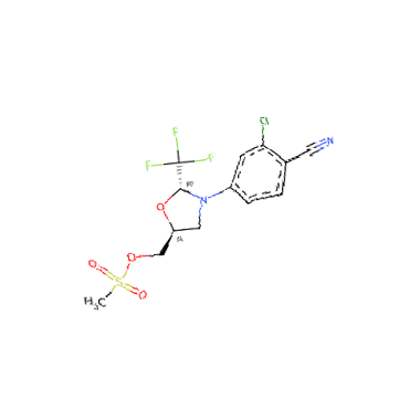 CS(=O)(=O)OC[C@@H]1CN(c2ccc(C#N)c(Cl)c2)[C@@H](C(F)(F)F)O1